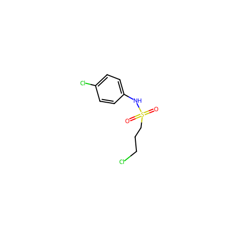 O=S(=O)(CCCCl)Nc1ccc(Cl)cc1